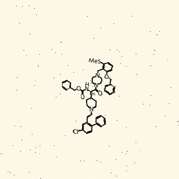 CSc1cccc(OCc2ccccc2)c1CN1CCN(C(=O)[C@H](NC(=O)OCc2ccccc2)C2CCN(CCc3cc(Cl)ccc3-c3ccccc3)CC2)CC1